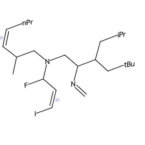 C=NC(CN(CC(C)/C=C\CCC)C(F)/C=C\I)C(CC(C)C)CC(C)(C)C